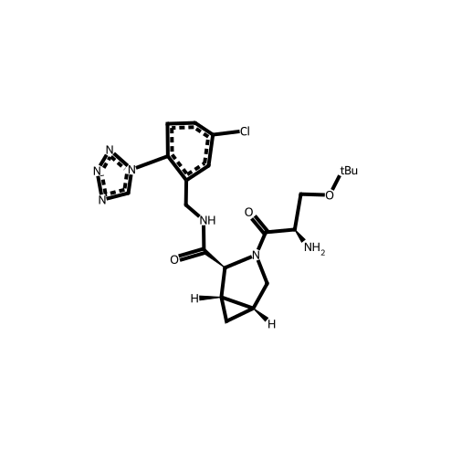 CC(C)(C)OC[C@@H](N)C(=O)N1C[C@@H]2C[C@@H]2[C@H]1C(=O)NCc1cc(Cl)ccc1-n1cnnn1